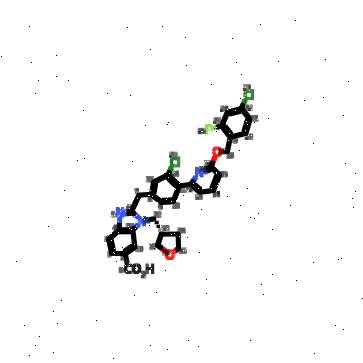 O=C(O)c1ccc2nc(Cc3ccc(-c4cccc(OCc5ccc(Cl)cc5F)n4)c(Cl)c3)n(C[C@@H]3CCOC3)c2c1